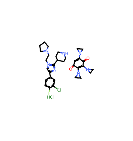 Cl.Fc1ccc(-c2cn(CCN3CCCC3)c(C3CCNCC3)n2)cc1Cl.O=C1C=C(N2CC2)C(=O)C(N2CC2)=C1N1CC1